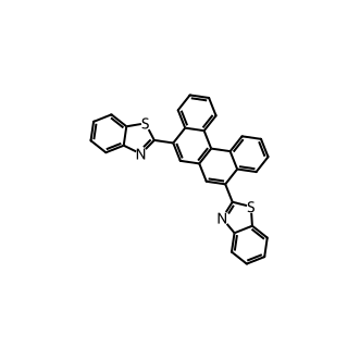 c1ccc2sc(-c3cc4cc(-c5nc6ccccc6s5)c5ccccc5c4c4ccccc34)nc2c1